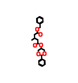 CC(CC(=O)OCc1ccccc1)CC(=O)OC1COC(c2ccccc2)OC1